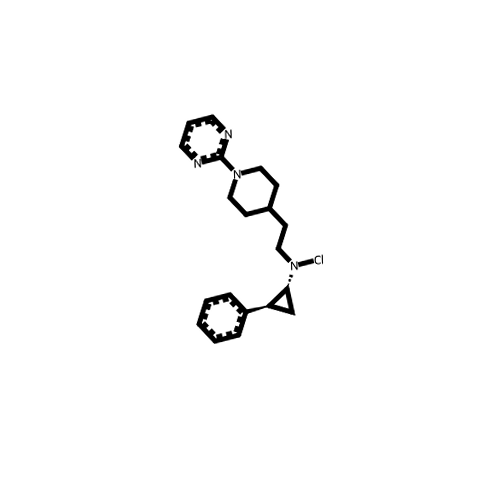 ClN(CCC1CCN(c2ncccn2)CC1)[C@@H]1C[C@H]1c1ccccc1